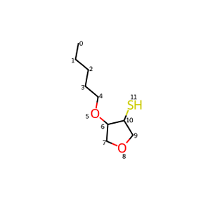 CCCCCOC1COCC1S